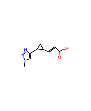 Cn1cc(C2CC2/C=C/C(=O)O)nn1